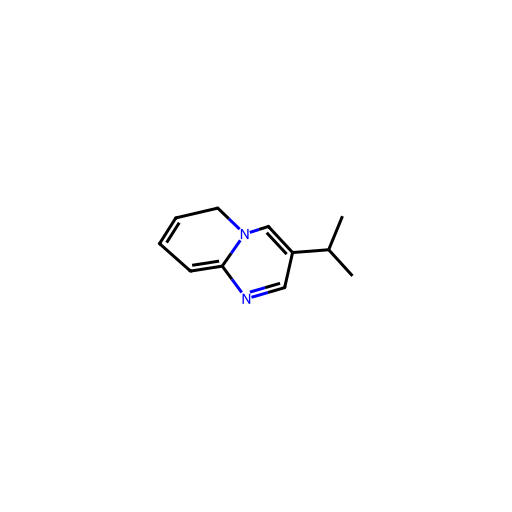 CC(C)C1=CN2CC=CC=C2N=C1